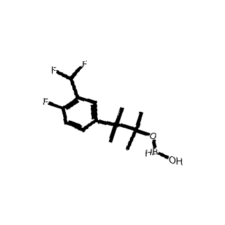 CC(C)(OBO)C(C)(C)c1ccc(F)c(C(F)F)c1